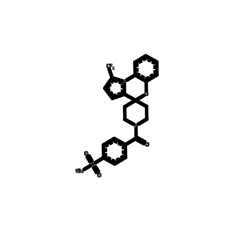 CC(C)(C)S(=O)(=O)c1ccc(C(=O)N2CCC3(CC2)Oc2ccccc2-n2c(C(F)(F)F)ccc23)cc1